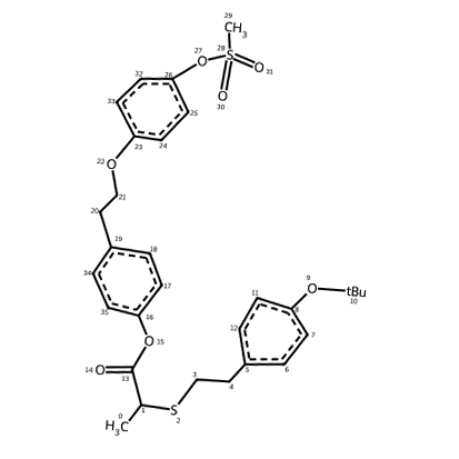 CC(SCCc1ccc(OC(C)(C)C)cc1)C(=O)Oc1ccc(CCOc2ccc(OS(C)(=O)=O)cc2)cc1